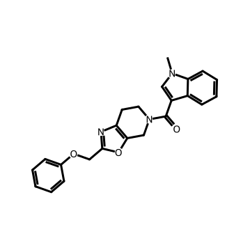 Cn1cc(C(=O)N2CCc3nc(COc4ccccc4)oc3C2)c2ccccc21